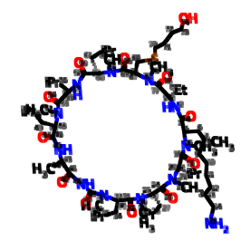 CC[C@@H]1NC(=O)C(C[C@H](C)CCCCCCN)N(C)C(=O)[C@H](C(C)C)N(C)C(=O)[C@H](CC(C)C)N(C)C(=O)[C@@H](CC(C)C)N(C)C(=O)NC(=O)[C@@H](C)NC(=O)[C@@H](CC(C)C)N(C)C(=O)[C@@H](C(C)C)NC(=O)[C@H](CC(C)C)N(C)C(=O)[C@@H](CSCCCCO)N(C)C1=O